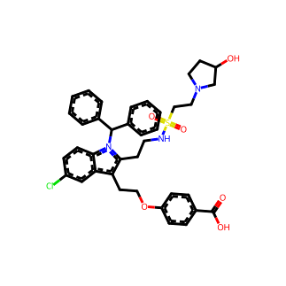 O=C(O)c1ccc(OCCc2c(CCNS(=O)(=O)CCN3CCC(O)C3)n(C(c3ccccc3)c3ccccc3)c3ccc(Cl)cc23)cc1